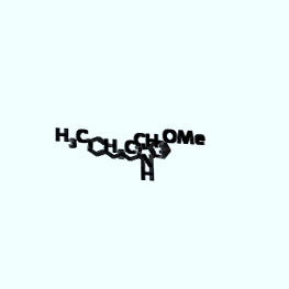 COc1ccc2c(c1)C(C)(C)C(CCCc1ccc(C)cc1)N2